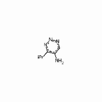 CC(C)c1nnncc1N